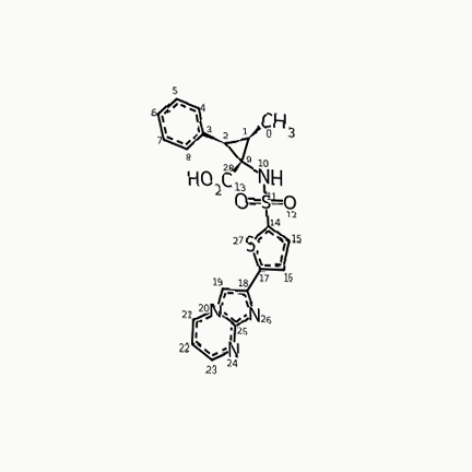 C[C@@H]1[C@H](c2ccccc2)[C@]1(NS(=O)(=O)c1ccc(-c2cn3cccnc3n2)s1)C(=O)O